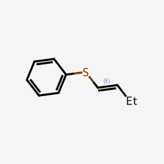 CC/C=C/Sc1ccccc1